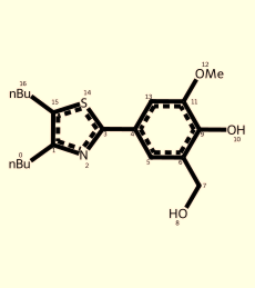 CCCCc1nc(-c2cc(CO)c(O)c(OC)c2)sc1CCCC